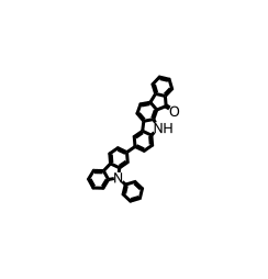 O=C1c2ccccc2-c2ccc3c([nH]c4ccc(-c5ccc6c7ccccc7n(-c7ccccc7)c6c5)cc43)c21